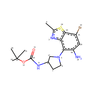 Cc1nc2c(N3CCC(NC(=O)OC(C)(C)C)C3)c(N)cc(Br)c2s1